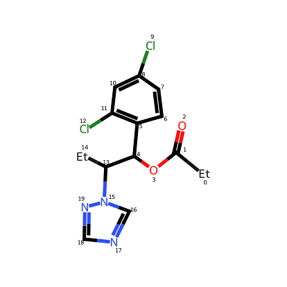 CCC(=O)OC(c1ccc(Cl)cc1Cl)C(CC)n1cncn1